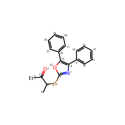 CCC(=O)C(C)Sc1nc(-c2ccccc2)c(-c2ccccc2)o1